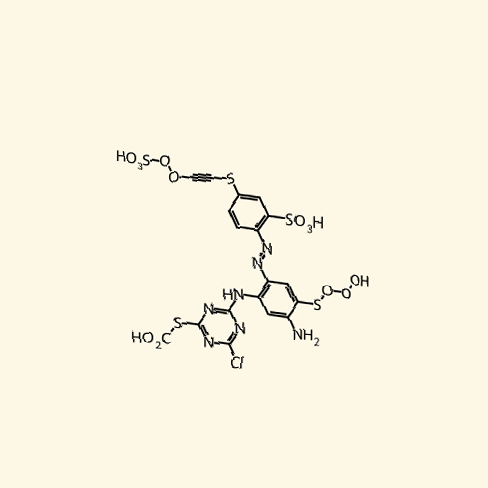 Nc1cc(Nc2nc(Cl)nc(SC(=O)O)n2)c(N=Nc2ccc(SC#COOS(=O)(=O)O)cc2S(=O)(=O)O)cc1SOOO